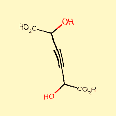 O=C(O)C(O)C#CC(O)C(=O)O